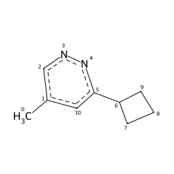 Cc1cnnc(C2CCC2)c1